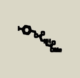 COC(=O)CNCC(=O)OCc1ccc(I)cc1